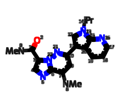 CNC(=O)c1cnc2c(NC)cc(-c3cn(C(C)C)c4ncccc34)nn12